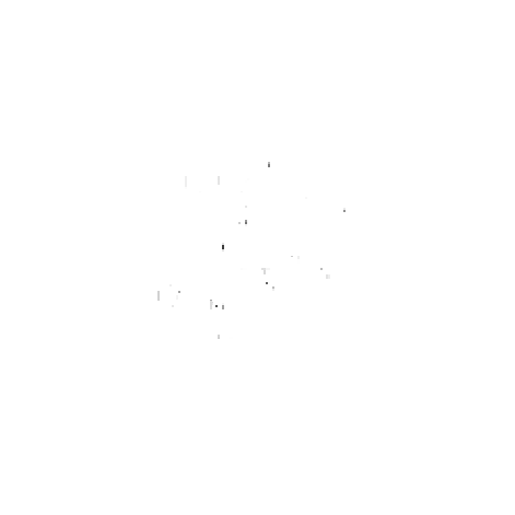 CC(=O)OC1CCCCC1NC(=O)N(C)O